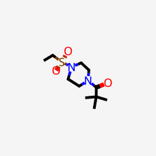 CCS(=O)(=O)N1CCN(C(=O)C(C)(C)C)CC1